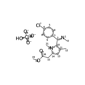 CN=C(c1ccc(Cl)cc1)c1c(C)cc(CC(=O)OC)n1C.[O-][Cl+3]([O-])([O-])O